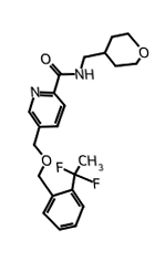 CC(F)(F)c1ccccc1COCc1ccc(C(=O)NCC2CCOCC2)nc1